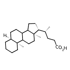 C[C@H](CCC(=O)O)[C@H]1CCC2C3CC[C@@H]4CCCC[C@]4(C)C3CC[C@@]21C